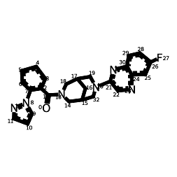 O=C(c1ccccc1-n1cccn1)N1CC2CC(C1)CN(c1cnc3cc(F)ccc3n1)C2